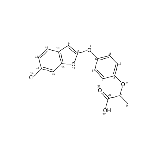 CC(Oc1ccc(Oc2cc3ccc(Cl)cc3o2)cc1)C(=O)O